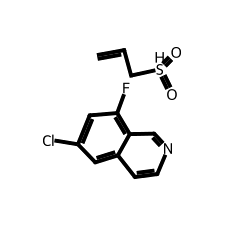 C=CC[SH](=O)=O.Fc1cc(Cl)cc2ccncc12